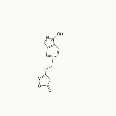 O=C1CC(CCc2ccc3c(cnn3O)c2)=NO1